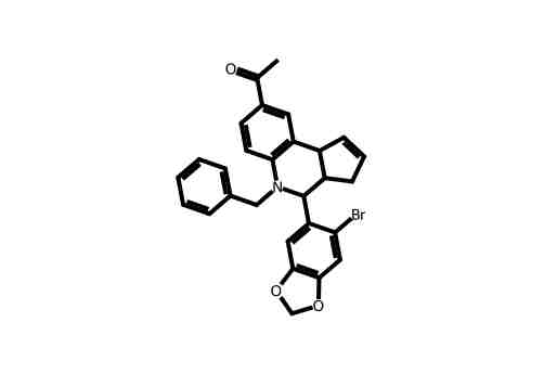 CC(=O)c1ccc2c(c1)C1C=CCC1C(c1cc3c(cc1Br)OCO3)N2Cc1ccccc1